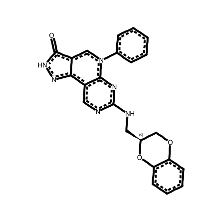 O=c1[nH]nc2c3cnc(NC[C@H]4COc5ccccc5O4)nc3n(-c3ccccc3)cc1-2